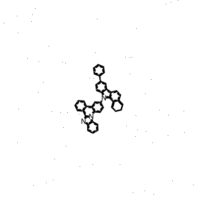 C1=c2ccc3c4cc(-c5ccccc5)ccc4n(-c4ccc5c(c4)c4ccccc4c4nc6ccccc6n54)c3c2=CCC1